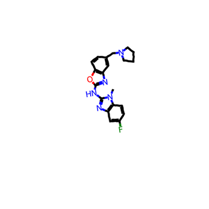 Cn1c(Nc2nc3cc(CN4CCCC4)ccc3o2)nc2cc(F)ccc21